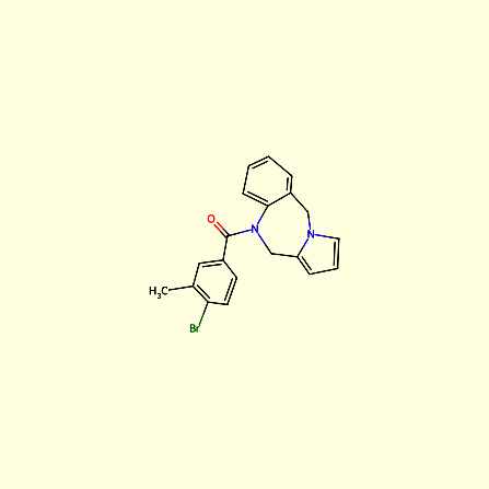 Cc1cc(C(=O)N2Cc3cccn3Cc3ccccc32)ccc1Br